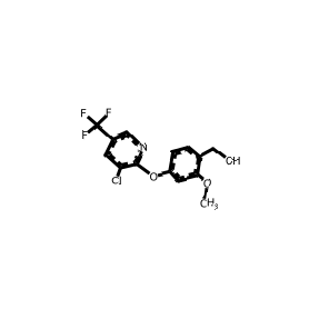 COc1cc(Oc2ncc(C(F)(F)F)cc2Cl)ccc1CO